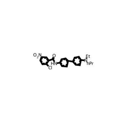 CCCN(CC)c1ccc(-c2ccc(NC(=O)c3cc([N+](=O)[O-])ccc3Cl)cc2)cc1